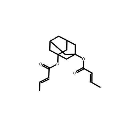 CC=CC(=O)OC12CC3CC(C1)CC(OC(=O)C=CC)(C3)C2